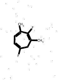 CC1=CC=C(F)CC(C)=C1F